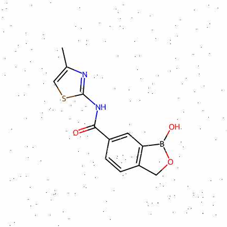 Cc1csc(NC(=O)c2ccc3c(c2)B(O)OC3)n1